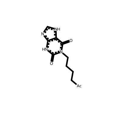 CC(=O)CCCCn1c(=O)[nH]c2nc[nH]c2c1=O